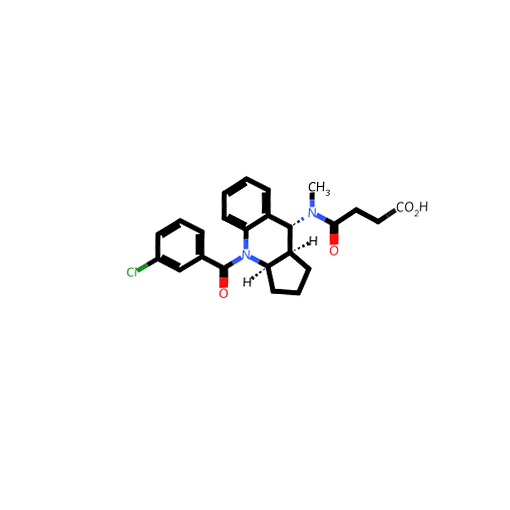 CN(C(=O)CCC(=O)O)[C@H]1c2ccccc2N(C(=O)c2cccc(Cl)c2)[C@@H]2CCC[C@@H]21